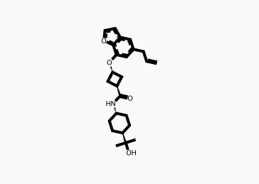 C=CCc1cc(O[C@H]2C[C@H](C(=O)N[C@H]3CC[C@H](C(C)(C)O)CC3)C2)c2occc2c1